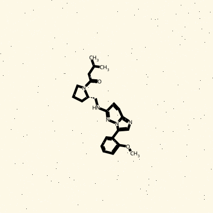 COc1ccccc1-c1cnc2ccc(NC[C@@H]3CCCN3C(=O)CC(C)C)nn12